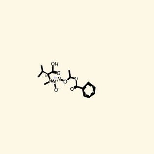 CC(O/N=[N+](\[O-])N(C)[C@H](C(=O)O)C(C)C)OC(=O)c1ccccc1